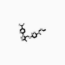 C=C/N=C\N(C)c1ccc(OCc2c(C)nnn2-c2ccc(C(F)F)cn2)nn1